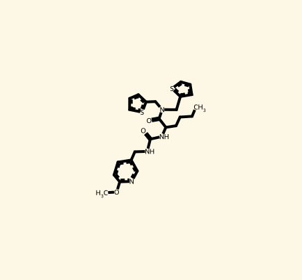 CCCCC(NC(=O)NCc1ccc(OC)nc1)C(=O)N(Cc1cccs1)Cc1cccs1